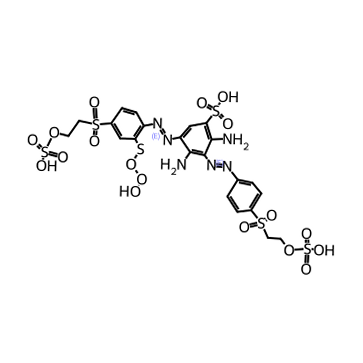 Nc1c(/N=N/c2ccc(S(=O)(=O)CCOS(=O)(=O)O)cc2SOOO)cc(S(=O)(=O)O)c(N)c1/N=N/c1ccc(S(=O)(=O)CCOS(=O)(=O)O)cc1